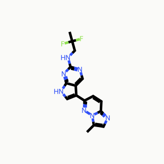 Cc1cnc2ccc(-c3c[nH]c4nc(NCC(C)(F)F)ncc34)nn12